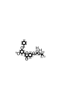 COc1cc(OCc2ccccc2)cc(-c2cc(=O)c3ccc(OCC(O)CNC(C)(C)C)cc3o2)c1